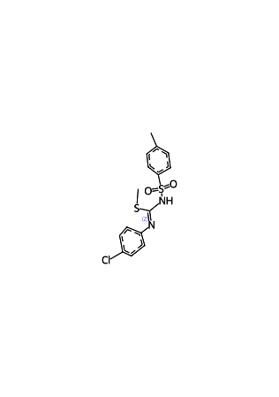 CS/C(=N\c1ccc(Cl)cc1)NS(=O)(=O)c1ccc(C)cc1